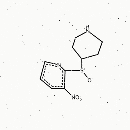 O=[N+]([O-])c1cccnc1[S+]([O-])C1CCNCC1